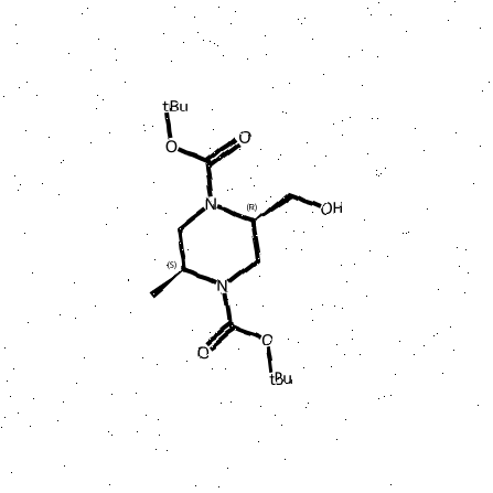 C[C@H]1CN(C(=O)OC(C)(C)C)[C@@H](CO)CN1C(=O)OC(C)(C)C